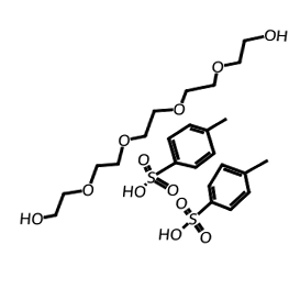 Cc1ccc(S(=O)(=O)O)cc1.Cc1ccc(S(=O)(=O)O)cc1.OCCOCCOCCOCCOCCO